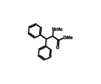 COC(=O)C(NC(C)=O)C(c1ccccc1)c1ccccc1